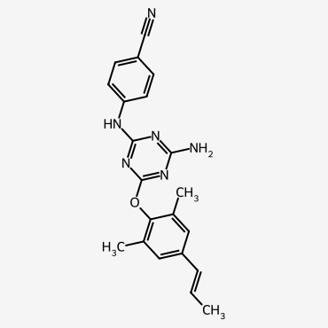 C/C=C/c1cc(C)c(Oc2nc(N)nc(Nc3ccc(C#N)cc3)n2)c(C)c1